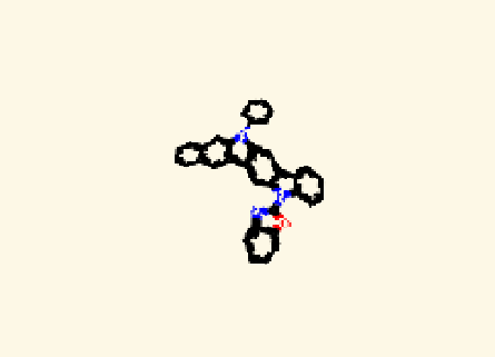 c1ccc(-n2c3cc4ccccc4cc3c3cc4c(cc32)c2ccccc2n4-c2nc3ccccc3o2)cc1